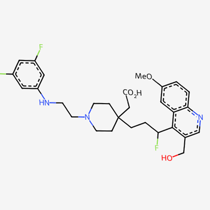 COc1ccc2ncc(CO)c(C(F)CCC3(CC(=O)O)CCN(CCNc4cc(F)cc(F)c4)CC3)c2c1